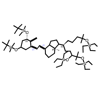 C=C1/C(=C\C=C2/CCC[C@@]3(C)C2CCC3[C@@H](CCCC(C)(C)O[Si](CC)(CC)CC)CCC(O[Si](CC)(CC)CC)C(C)(C)O[Si](CC)(CC)CC)CC(O[Si](C)(C)C(C)(C)C)C[C@@H]1O[Si](C)(C)C(C)(C)C